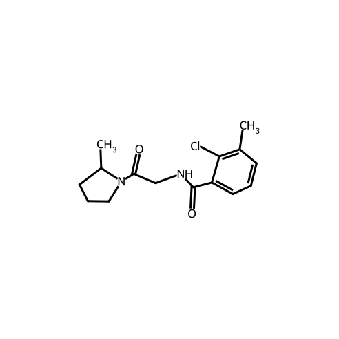 Cc1cccc(C(=O)NCC(=O)N2CCCC2C)c1Cl